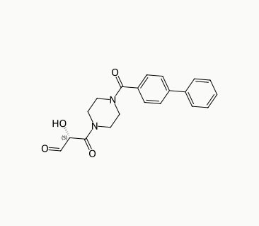 O=C[C@H](O)C(=O)N1CCN(C(=O)c2ccc(-c3ccccc3)cc2)CC1